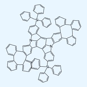 c1ccc([Si](c2ccccc2)(c2ccccc2)c2ccc3c(c2)c2c4c5cc6c(cc5n5c7ccc([Si](c8ccccc8)(c8ccccc8)c8ccccc8)cc7c(c7c8cc9c(cc8n3c27)-c2ccccc2-c2ccccc2-c2ccccc2-9)c45)-c2ccccc2-c2ccccc2-c2ccccc2-6)cc1